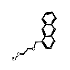 CCOCCOCc1cccc2cc3ccccc3cc12